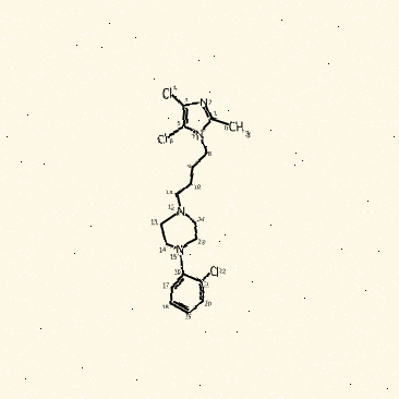 Cc1nc(Cl)c(Cl)n1CCCCN1CCN(c2ccccc2Cl)CC1